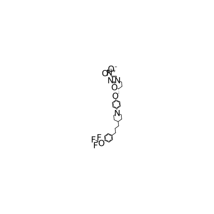 O=[N+]([O-])c1cn2c(n1)O[C@@H](COc1ccc(N3CCC(CCCc4ccc(OC(F)(F)F)cc4)CC3)cc1)CC2